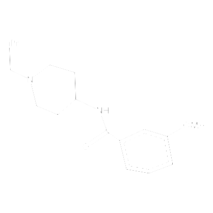 COc1cccc(C(=O)NC2CCN(CC(C)C)CC2)c1